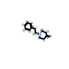 C=C1CCN(C(F)Cc2ccccc2)CC1